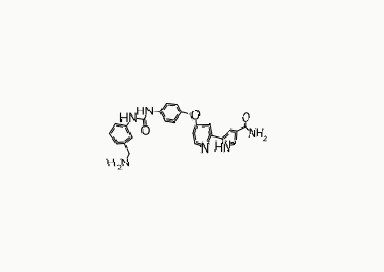 NCc1cccc(NC(=O)Nc2ccc(Oc3ccnc(-c4cc(C(N)=O)c[nH]4)c3)cc2)c1